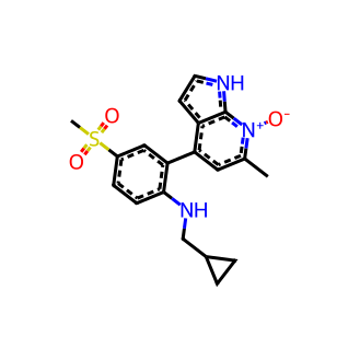 Cc1cc(-c2cc(S(C)(=O)=O)ccc2NCC2CC2)c2cc[nH]c2[n+]1[O-]